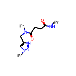 CC(C)NC(=O)CCC(=O)N(Cc1cn(C(C)C)nn1)C(C)C